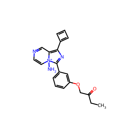 CCC(=O)COc1cccc(C2=NC(C3=CC=C3)=C3C=NC=C[N+]23N)c1